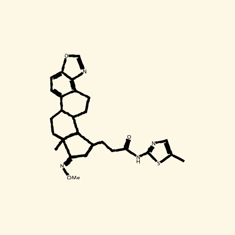 CO/N=C1\CC(CCC(=O)Nc2ncc(C)s2)C2C3CCc4c(ccc5ocnc45)C3CCC12C